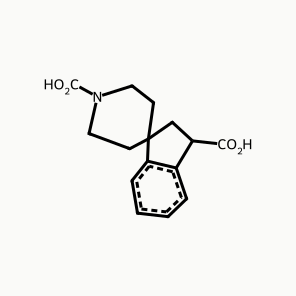 O=C(O)C1CC2(CCN(C(=O)O)CC2)c2ccccc21